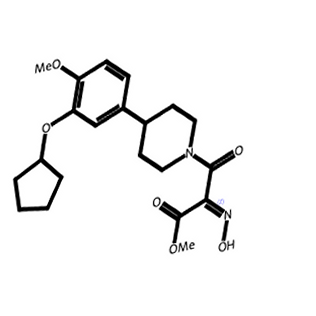 COC(=O)/C(=N\O)C(=O)N1CCC(c2ccc(OC)c(OC3CCCC3)c2)CC1